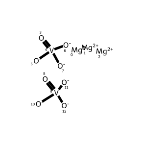 [Mg+2].[Mg+2].[Mg+2].[O]=[V]([O-])([O-])[O-].[O]=[V]([O-])([O-])[O-]